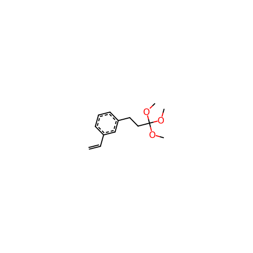 C=Cc1cccc(CCC(OC)(OC)OC)c1